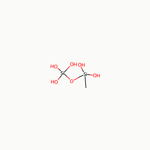 C[Si](O)(O)O[Si](O)(O)O